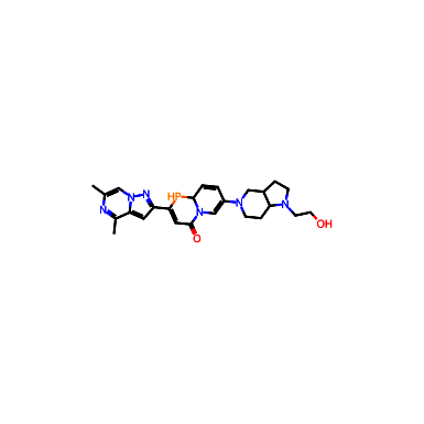 Cc1cn2nc(C3=CC(=O)N4C=C(N5CCC6C(CCN6CCO)C5)C=CC4P3)cc2c(C)n1